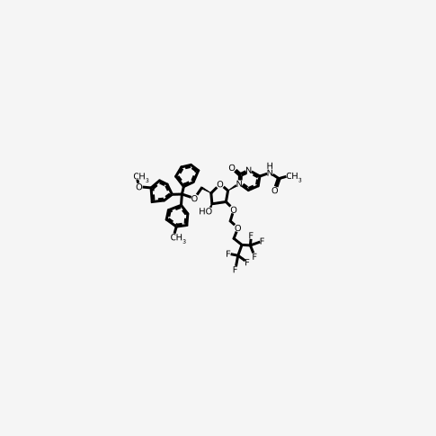 COc1ccc(C(OC[C@H]2O[C@@H](n3ccc(NC(C)=O)nc3=O)C(OCOCC(C(F)(F)F)C(F)(F)F)[C@H]2O)(c2ccccc2)c2ccc(C)cc2)cc1